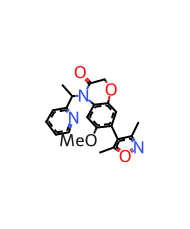 COc1cc2c(cc1-c1c(C)noc1C)OCC(=O)N2C(C)c1ccccn1